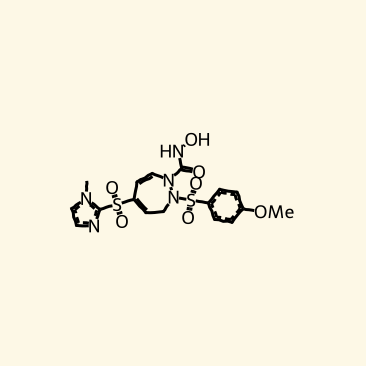 COc1ccc(S(=O)(=O)N2CC=C(S(=O)(=O)c3nccn3C)C=CN2C(=O)NO)cc1